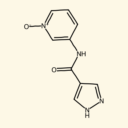 O=C(Nc1ccc[n+]([O-])c1)c1cn[nH]c1